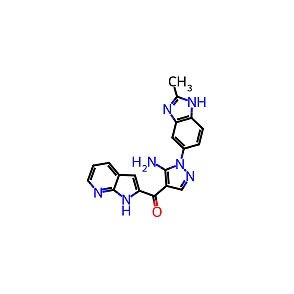 Cc1nc2cc(-n3ncc(C(=O)c4cc5cccnc5[nH]4)c3N)ccc2[nH]1